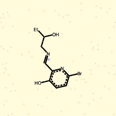 CCC(O)C/N=C/c1nc(Br)ccc1O